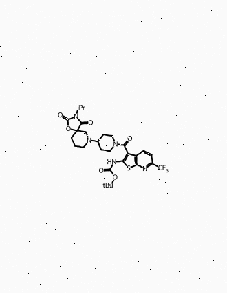 CC(C)N1C(=O)OC2(CCCN(C3CCN(C(=O)c4c(NC(=O)OC(C)(C)C)sc5nc(C(F)(F)F)ccc45)CC3)C2)C1=O